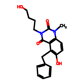 Cn1c(=O)n(CCCCO)c(=O)c2c(Cc3ccccc3)c(O)ccc21